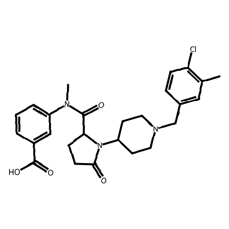 Cc1cc(CN2CCC(N3C(=O)CCC3C(=O)N(C)c3cccc(C(=O)O)c3)CC2)ccc1Cl